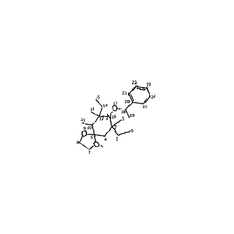 CCC1(C)CC2(OCCO2)C(C)C(C)(CC)N1OC(C)c1ccccc1